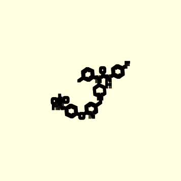 Cc1cccc(N(C(=O)Nc2ccc(F)cc2)C2CCN(Cc3ccc(Oc4ccc(NS(C)(=O)=O)cc4)nc3)CC2)c1